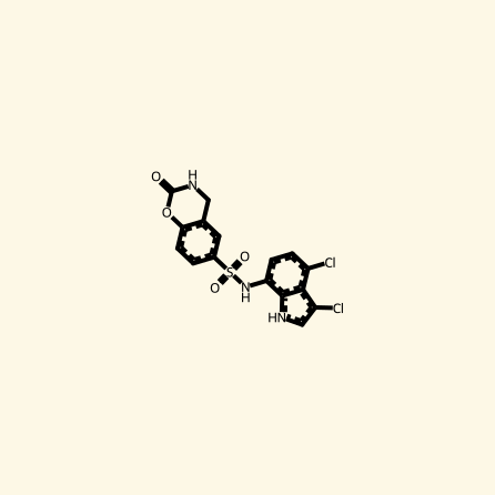 O=C1NCc2cc(S(=O)(=O)Nc3ccc(Cl)c4c(Cl)c[nH]c34)ccc2O1